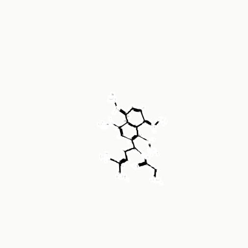 CCC(=O)OC(CC=C(C)C)c1cc(OC)c2c(c1OC)/C(=N/O)C=C/C2=N\O